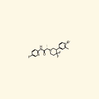 Cc1cc(C2CN([C@@H](C)C(=O)Nc3ccc(F)cn3)CCC2(F)F)cc[n+]1[O-]